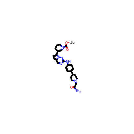 CC(C)(C)OC(=O)N1C=C(c2ccc3cnc(Nc4ccc(C5CCN(CC(N)=O)CC5)cc4)nn23)CCC1